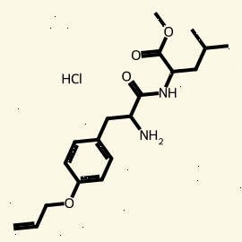 C=CCOc1ccc(CC(N)C(=O)NC(CC(C)C)C(=O)OC)cc1.Cl